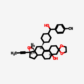 CC#C[C@]1(O)CCC2C3CC[C@@]4(O)CC5(CCC4=C3[C@@H](C3CCC(C(O)c4ccc(C#N)cc4)CC3)C[C@@]21C)OCCO5